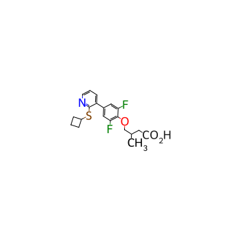 CC(COc1c(F)cc(-c2cccnc2SC2CCC2)cc1F)CC(=O)O